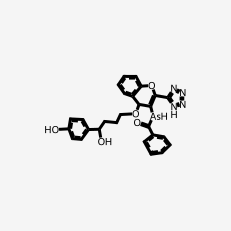 O=C([AsH]C1=C(c2nnn[nH]2)Oc2ccccc2C1OCCCC(O)c1ccc(O)cc1)c1ccccc1